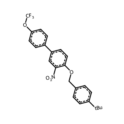 CC(C)(C)c1ccc(COc2ccc(-c3ccc(OC(F)(F)F)cc3)cc2[N+](=O)[O-])cc1